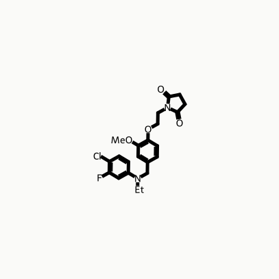 CCN(Cc1ccc(OCCN2C(=O)CCC2=O)c(OC)c1)c1ccc(Cl)c(F)c1